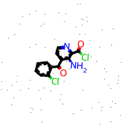 Nc1c(C(=O)c2ccccc2Cl)ccnc1C(=O)Cl